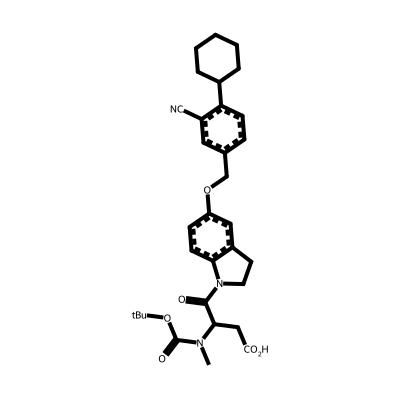 CN(C(=O)OC(C)(C)C)C(CC(=O)O)C(=O)N1CCc2cc(OCc3ccc(C4CCCCC4)c(C#N)c3)ccc21